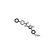 COc1ccc(-c2cc(NC(=O)N3CCN(c4ccccc4)CC3)n[nH]2)cc1